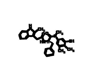 Cc1cc(N(C)C(=O)[C@H](Cc2ccccc2)NC(=O)Cc2c(C)[nH]c3ccccc23)cc(S)c1C